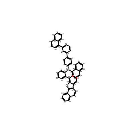 c1cc(-c2ccc(N(c3ccccc3-c3cccc4c3oc3c5ccccc5ccc43)c3cccc4ccccc34)cc2)cc(-c2cccc3ccccc23)c1